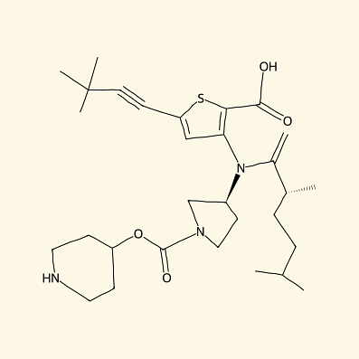 C=C([C@H](C)CCC(C)C)N(c1cc(C#CC(C)(C)C)sc1C(=O)O)[C@H]1CCN(C(=O)OC2CCNCC2)C1